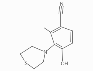 Cc1c(C#N)ccc(O)c1N1CCSCC1